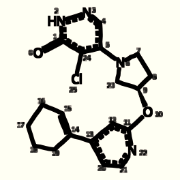 O=c1[nH]ncc(N2CC[C@@H](Oc3cc(C4=CCCCC4)ccn3)C2)c1Cl